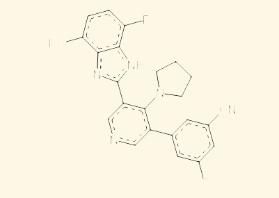 Cc1ccc(F)c2[nH]c(-c3cncc(-c4cc(F)cc(C#N)c4)c3N3CCCC3)nc12